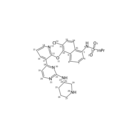 CCCS(=O)(=O)Nc1cccc2c(Oc3ncccc3-c3ccnc(N[C@H]4CCCNC4)n3)c(Cl)ccc12